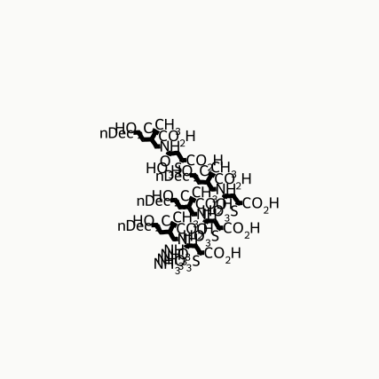 CCCCCCCCCCCCC(CNC(=O)CC(C(=O)O)S(=O)(=O)O)C(C)(C(=O)O)C(=O)O.CCCCCCCCCCCCC(CNC(=O)CC(C(=O)O)S(=O)(=O)O)C(C)(C(=O)O)C(=O)O.CCCCCCCCCCCCC(CNC(=O)CC(C(=O)O)S(=O)(=O)O)C(C)(C(=O)O)C(=O)O.CCCCCCCCCCCCC(CNC(=O)CC(C(=O)O)S(=O)(=O)O)C(C)(C(=O)O)C(=O)O.N.N.N.N